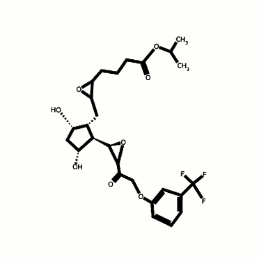 CC(C)OC(=O)CCCC1OC1C[C@@H]1[C@@H]([C@H]2OC2C(=O)COc2cccc(C(F)(F)F)c2)[C@H](O)C[C@@H]1O